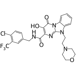 O=C(NCc1ccc(Cl)c(C(F)(F)F)c1)c1nc2n(CCN3CCOCC3)c3ccccc3n2c(=O)c1O